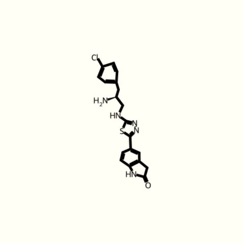 N[C@H](CNc1nnc(-c2ccc3c(c2)CC(=O)N3)s1)Cc1ccc(Cl)cc1